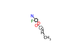 CCCCC[SiH]1CCC(C(=O)Oc2ccc(C#N)c(F)c2)CC1